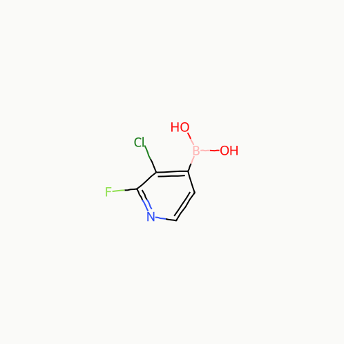 OB(O)c1ccnc(F)c1Cl